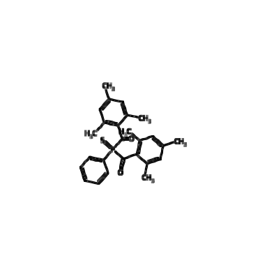 Cc1cc(C)c(C(=O)P(=S)(C(=O)c2c(C)cc(C)cc2C)c2ccccc2)c(C)c1